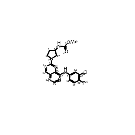 COC(=O)NC1CCN(c2ncc3ncnc(Nc4ccc(F)c(Cl)c4)c3n2)C1